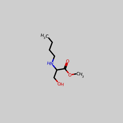 CCCCNC(CO)C(=O)OC